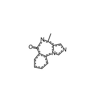 Cc1nc(=O)c2ccccc2n2cncc12